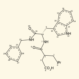 CC(C)CC(CC(=O)O)C(=O)N[C@@H](Cc1c[nH]c2ccccc12)C(=O)NCc1ccccc1